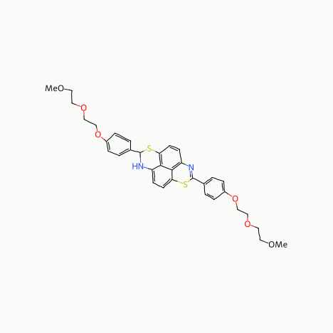 COCCOCCOc1ccc(C2=Nc3ccc4c5c(ccc(c35)S2)NC(c2ccc(OCCOCCOC)cc2)S4)cc1